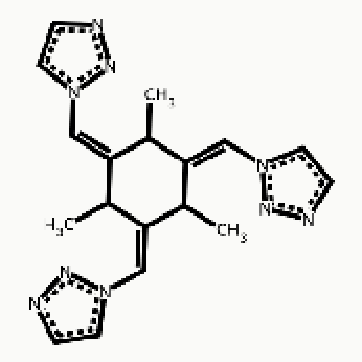 CC1C(=Cn2ccnn2)C(C)C(=Cn2ccnn2)C(C)C1=Cn1ccnn1